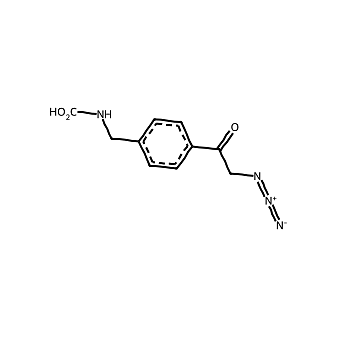 [N-]=[N+]=NCC(=O)c1ccc(CNC(=O)O)cc1